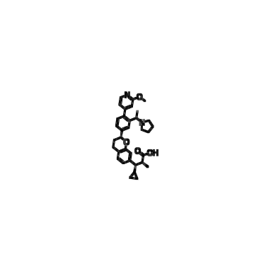 COc1cc(-c2ccc([C@@H]3CCc4ccc([C@H](C5CC5)[C@H](C)C(=O)O)cc4O3)cc2C(C)N2CCCC2)ccn1